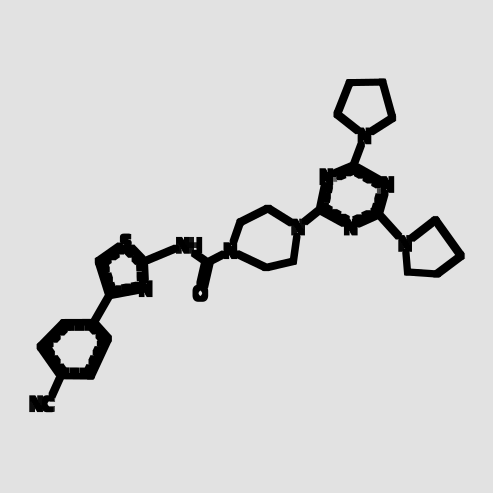 N#Cc1ccc(-c2csc(NC(=O)N3CCN(c4nc(N5CCCC5)nc(N5CCCC5)n4)CC3)n2)cc1